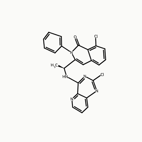 C[C@H](Nc1nc(Cl)nc2cccnc12)c1cc2cccc(Cl)c2c(=O)n1-c1ccccc1